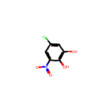 O=[N+]([O-])c1cc(Cl)cc(O)c1O